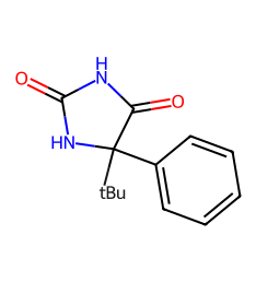 CC(C)(C)C1(c2ccccc2)NC(=O)NC1=O